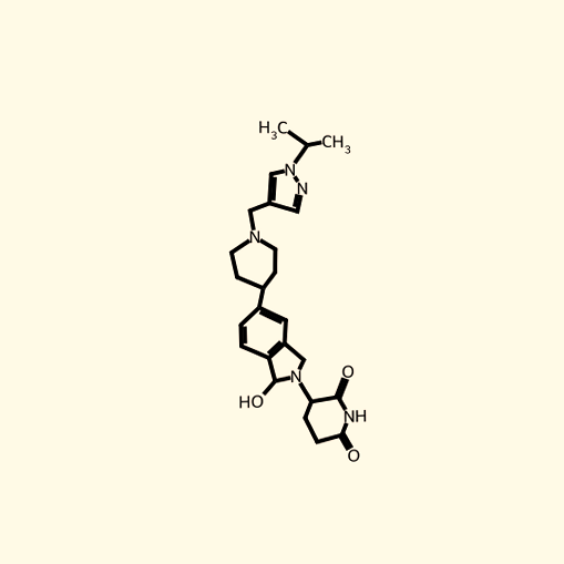 CC(C)n1cc(CN2CCC(c3ccc4c(c3)CN(C3CCC(=O)NC3=O)C4O)CC2)cn1